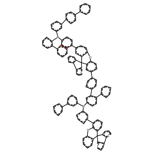 c1ccc(-c2ccc(-c3cccc(N(c4ccc(-c5ccc6c(c5)C5(c7cc(-c8ccc(-c9cc(N(c%10cccc(-c%11ccccc%11)c%10)c%10cccc(-c%11cccc%12c%11Oc%11ccccc%11C%12%11c%12ccccc%12-c%12ccccc%12%11)c%10)ccc9-c9ccccc9)cc8)ccc7O6)c6ccccc6-c6ccccc65)cc4)c4ccccc4-c4ccccc4)c3)cc2)cc1